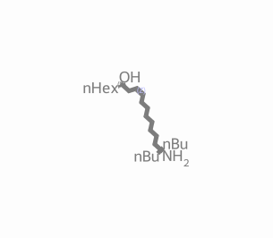 CCCCCC[C@@H](O)C/C=C\CCCCCCCC(N)(CCCC)CCCC